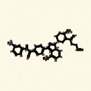 CSCCC(=O)N1C[C@H](c2nc(-c3ccc(C(=O)Nc4cc(C(F)(F)F)ccn4)cc3)c3c(N)nccn23)CC[C@H]1C